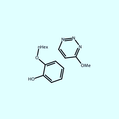 CCCCCCOc1ccccc1O.COc1ccnnn1